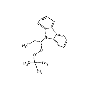 CCC(OOC(C)(C)C)n1c2ccccc2c2ccccc21